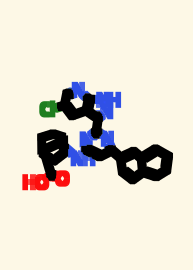 O=C(O)C1C2CCC(CC2)C1Nc1cc(-c2ccc3ccccc3c2)nc(-c2n[nH]c3ncc(Cl)cc23)n1